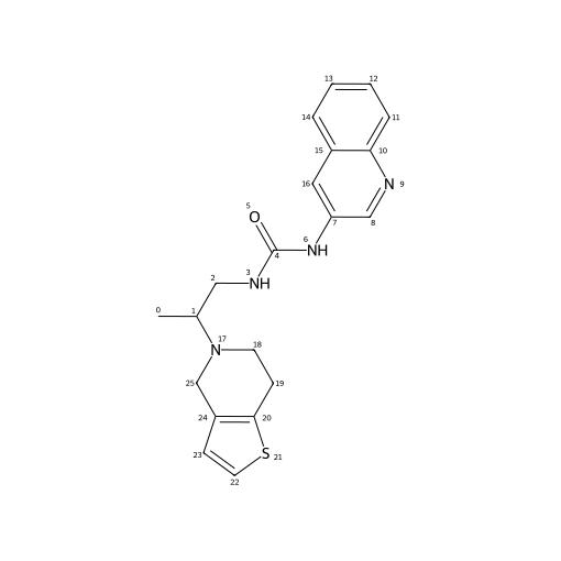 CC(CNC(=O)Nc1cnc2ccccc2c1)N1CCc2sccc2C1